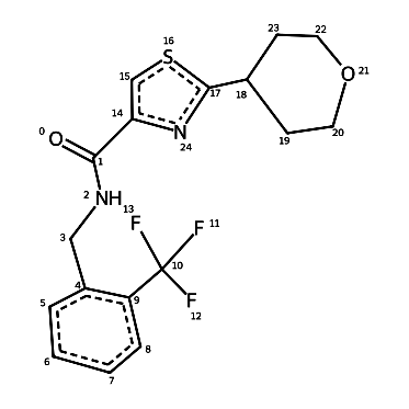 O=C(NCc1ccccc1C(F)(F)F)c1csc(C2CCOCC2)n1